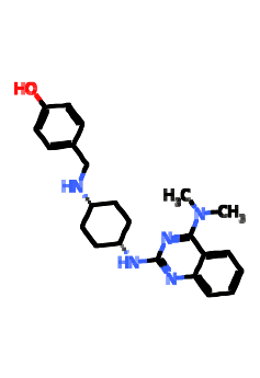 CN(C)c1nc(N[C@H]2CC[C@@H](NCc3ccc(O)cc3)CC2)nc2ccccc12